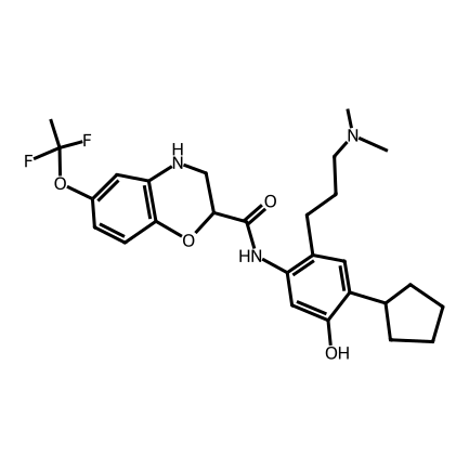 CN(C)CCCc1cc(C2CCCC2)c(O)cc1NC(=O)C1CNc2cc(OC(C)(F)F)ccc2O1